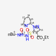 CCCCNC(=O)NS(=O)(=O)c1c(C(=O)OCC)cnn1-c1ccccn1